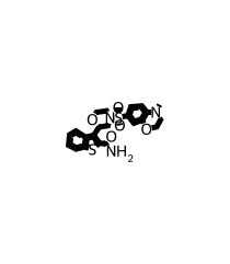 CN1CCOc2cc(S(=O)(=O)N3CCOC(c4c(C(N)=O)sc5ccccc45)C3)ccc21